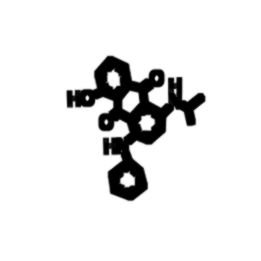 CC(C)Nc1ccc(Nc2ccccc2)c2c1C(=O)c1cccc(O)c1C2=O